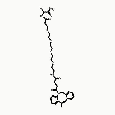 C/C1=C/c2ccccc2CN(C(=O)CCC(=O)NCCOCCOCCOCCOCCC(=O)N[C@H](C(N)=O)C(C)C)c2ccccc21